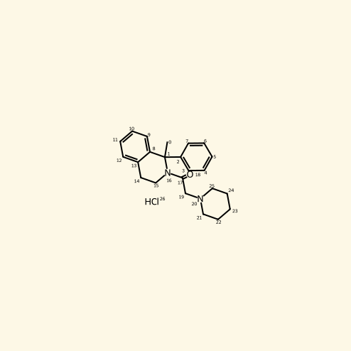 CC1(c2ccccc2)c2ccccc2CCN1C(=O)CN1CCCCC1.Cl